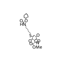 COC(=O)c1noc2c1C(=O)C(SCCCCCNC(=O)Oc1ccccc1)=CC2=O